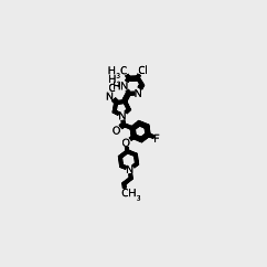 CCCN1CCC(Oc2cc(F)ccc2C(=O)N2CC(=N/C)/C(=C3/N=CC(Cl)=C(C)N3)C2)CC1